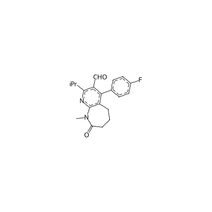 CC(C)c1nc2c(c(-c3ccc(F)cc3)c1C=O)CCCC(=O)N2C